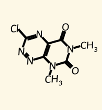 Cn1c(=O)c2nc(Cl)nnc2n(C)c1=O